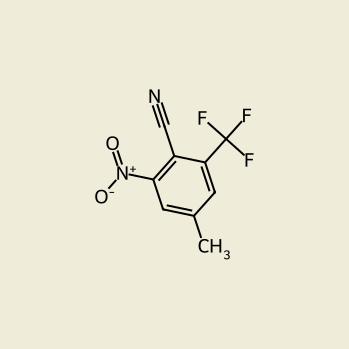 Cc1cc([N+](=O)[O-])c(C#N)c(C(F)(F)F)c1